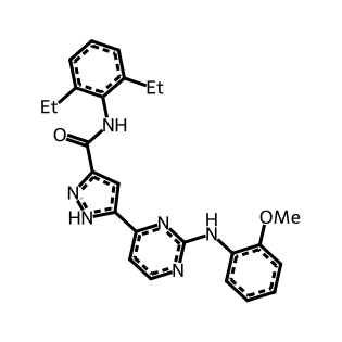 CCc1cccc(CC)c1NC(=O)c1cc(-c2ccnc(Nc3ccccc3OC)n2)[nH]n1